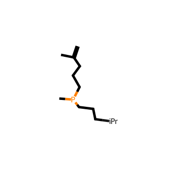 C=C(C)CCCP(C)CCCC(C)C